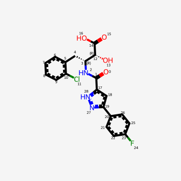 O=C(N[C@H](Cc1ccccc1Cl)[C@@H](O)C(=O)O)c1cc(-c2ccc(F)cc2)n[nH]1